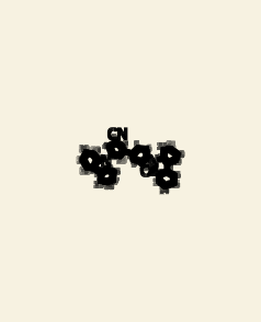 N#Cc1cc(-c2ccc3c(c2)OB2c4ccccc4-c4ccccc4N23)cc(-n2c3ccccc3c3ccccc32)c1